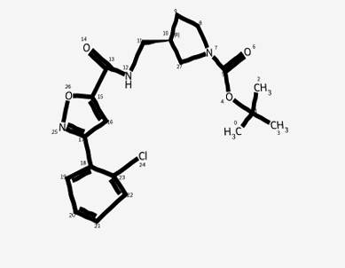 CC(C)(C)OC(=O)N1CC[C@H](CNC(=O)c2cc(-c3ccccc3Cl)no2)C1